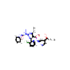 COC(=O)c1ccnc(NC(=O)C2=C(C)NC(Nc3nc4cccc(C(F)(F)F)c4o3)=NC2c2ccccc2Cl)c1